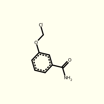 NC(=O)c1cccc(OCCl)c1